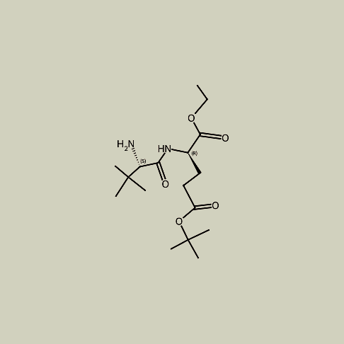 CCOC(=O)[C@@H](CCC(=O)OC(C)(C)C)NC(=O)[C@@H](N)C(C)(C)C